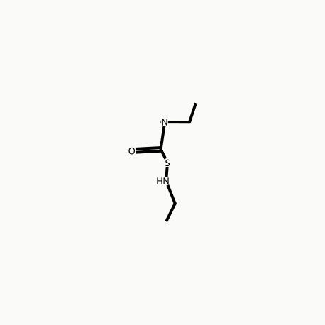 CC[N]C(=O)SNCC